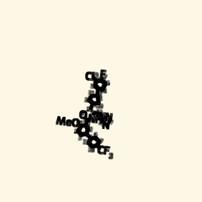 COc1ccc(-c2ccc(C(F)(F)F)cc2)cc1C(=O)N[C@H](Cc1ccc(-c2ccc(F)c(Cl)c2)cc1)Cn1cncn1